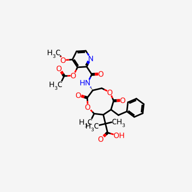 COc1ccnc(C(=O)N[C@@H]2COC(=O)C(Cc3ccccc3)C(C(C)(C)C(=O)O)C(C)OC2=O)c1OC(C)=O